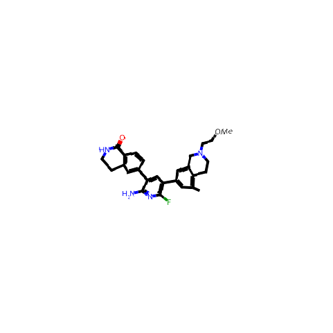 COCCN1CCc2c(C)cc(-c3cc(-c4ccc5c(c4)CCNC5=O)c(N)nc3F)cc2C1